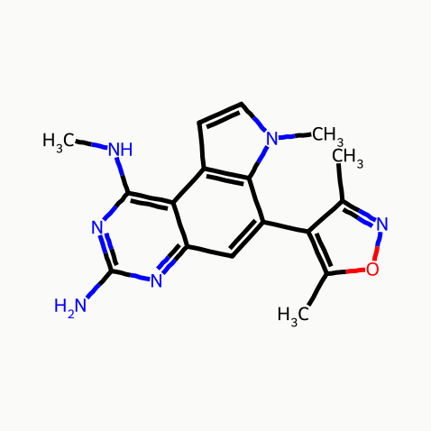 CNc1nc(N)nc2cc(-c3c(C)noc3C)c3c(ccn3C)c12